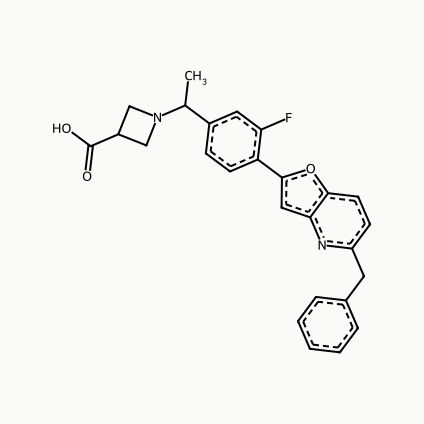 CC(c1ccc(-c2cc3nc(Cc4ccccc4)ccc3o2)c(F)c1)N1CC(C(=O)O)C1